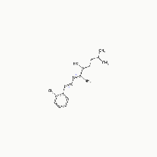 CC(C)CCN(O)/C(N)=N/N=C/c1ccccc1Cl